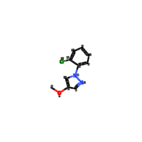 COc1cnn(-c2ccccc2Cl)c1